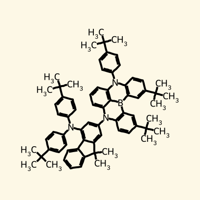 CC(C)(C)c1ccc(N(c2ccc(C(C)(C)C)cc2)c2cc(N3c4ccc(C(C)(C)C)cc4B4c5cc(C(C)(C)C)ccc5N(c5ccc(C(C)(C)C)cc5)c5cccc3c54)cc3c2-c2ccccc2C3(C)C)cc1